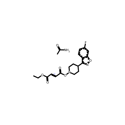 CC(N)=O.CCOC(=O)/C=C/C(=O)ON1CCC(c2noc3cc(F)ccc23)CC1